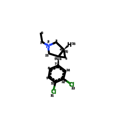 CCN1C[C@H]2C[C@@]2(c2ccc(Cl)c(Cl)c2)C1